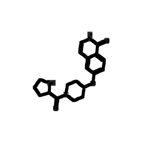 O=C(C1CCCN1)N1CCC(Oc2ccc3c(=O)[nH]ccc3c2)CC1